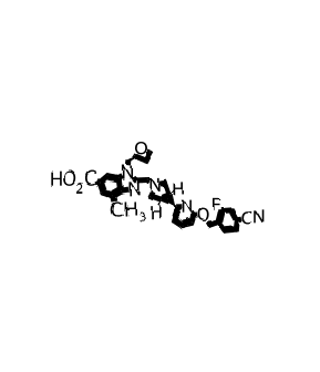 Cc1cc(C(=O)O)cc2c1nc(CN1C[C@@H]3[C@H](C1)[C@H]3c1cccc(OCc3ccc(C#N)cc3F)n1)n2C[C@@H]1CCO1